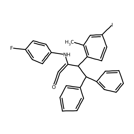 Cc1cc(I)ccc1C(C(=C=O)Nc1ccc(F)cc1)C(c1ccccc1)c1ccccc1